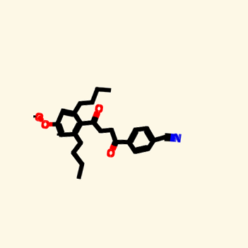 CCCCc1[c]c(O[O])cc(CCCC)c1C(=O)CCC(=O)c1ccc(C#N)cc1